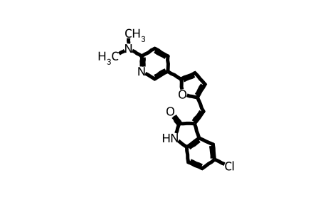 CN(C)c1ccc(-c2ccc(C=C3C(=O)Nc4ccc(Cl)cc43)o2)cn1